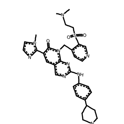 CN(C)CCS(=O)(=O)c1cnccc1Cn1c(=O)c(-c2nccn2C)cc2cnc(Nc3ccc(C4CCN(C)CC4)cc3)nc21